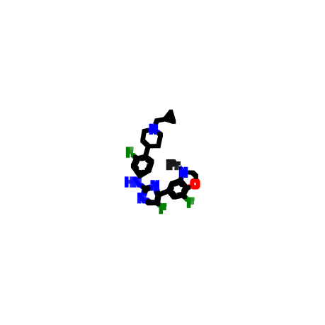 CC(C)N1CCOc2c(F)cc(-c3nc(Nc4ccc(C5CCN(CC6CC6)CC5)c(F)c4)ncc3F)cc21